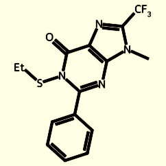 CCSn1c(-c2ccccc2)nc2c(nc(C(F)(F)F)n2C)c1=O